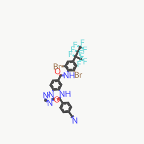 N#Cc1ccc(C(=O)Nc2cc(C(=O)Nc3c(Br)cc(C(F)(C(F)(F)F)C(F)(F)C(F)(F)F)cc3Br)ccc2-n2cncn2)cc1